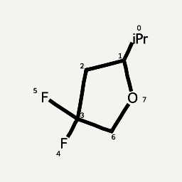 CC(C)C1CC(F)(F)CO1